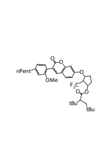 CCCCCc1ccc(-c2cc3ccc(OC4CCC(OC(=O)C(CC(C)(C)C)C(C)(C)C)C4C(F)(F)F)cc3oc2=O)c(OC)c1